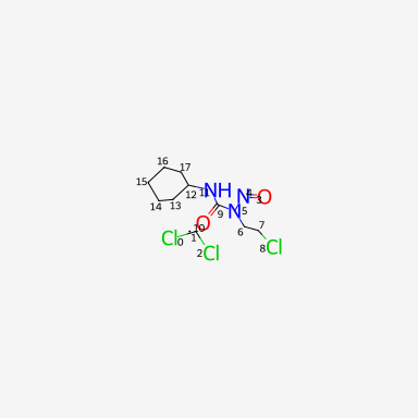 Cl[CH]Cl.O=NN(CCCl)C(=O)NC1CCCCC1